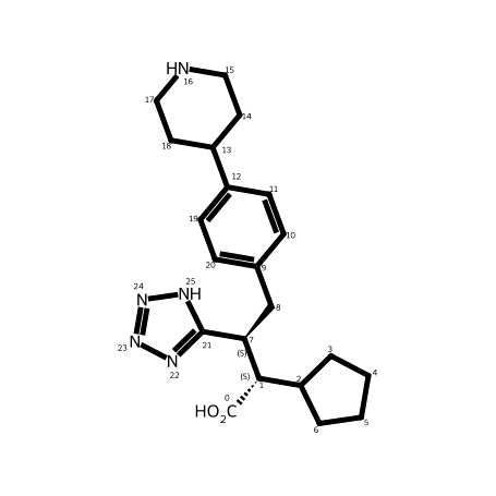 O=C(O)[C@@H](C1CCCC1)[C@H](Cc1ccc(C2CCNCC2)cc1)c1nnn[nH]1